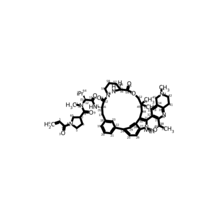 C=CC(=O)N1CCC(C(=O)N(C)[C@H](C(=O)N[C@H]2Cc3cccc(c3)-c3ccc4c(c3)c(c(-c3cc5c(nc3[C@H](C)OC)CCN(C)C5)n4CC)CC(C)(C)COC(=O)[C@@H]3CCCN(N3)C2=O)C(C)C)C1